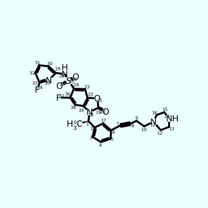 C[C@H](c1cccc(C#CCCN2CCNCC2)c1)n1c(=O)oc2cc(S(=O)(=O)Nc3cccc(F)n3)c(F)cc21